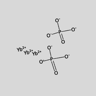 O=P([O-])([O-])[O-].O=P([O-])([O-])[O-].[Yb+2].[Yb+2].[Yb+2]